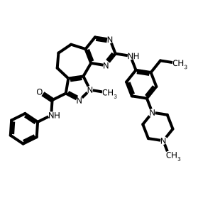 CCc1cc(N2CCN(C)CC2)ccc1Nc1ncc2c(n1)-c1c(c(C(=O)Nc3ccccc3)nn1C)CCC2